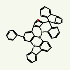 c1ccc(-c2cc3c4c(c2)-n2c5ccccc5c5cccc(c52)B4N2c4ccccc4C4(c5ccccc5-c5ccccc54)c4cccc-3c42)cc1